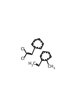 C=Cc1ccccc1C.ClC(Cl)=Cc1ccccc1